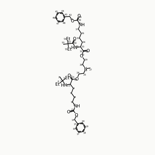 CCC(C)(CC)NC(CCCCNC(=O)OCc1ccccc1)C(=O)OCCN(C)CCOC(=O)C(CCCCNC(=O)OCc1ccccc1)NC(=O)C(C)(CC)CC